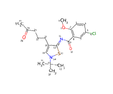 COc1ccc(Cl)cc1C(=O)N=c1sn(C(C)(C)C)cc1CCCC(C)=O